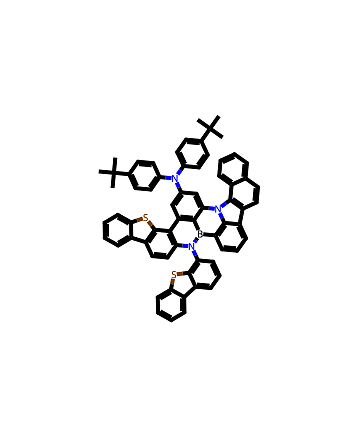 CC(C)(C)c1ccc(N(c2ccc(C(C)(C)C)cc2)c2cc3c4c(c2)-n2c5c(cccc5c5ccc6ccccc6c52)B4N(c2cccc4c2sc2ccccc24)c2ccc4c(sc5ccccc54)c2-3)cc1